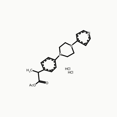 CC(=O)OC(=O)C(C)c1ccc(N2CCN(c3ccncc3)CC2)cc1.Cl.Cl